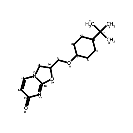 CC(C)(C)C1CCC(OCC2Cn3ccc(=O)nc3O2)CC1